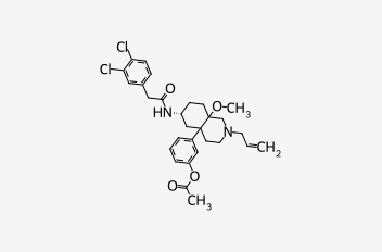 C=CCN1CCC2(c3cccc(OC(C)=O)c3)C[C@H](NC(=O)Cc3ccc(Cl)c(Cl)c3)CCC2(OC)C1